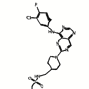 CS(=O)(=O)NCC1CCN(c2ncc3ncnc(Nc4ccc(F)c(Cl)c4)c3n2)CC1